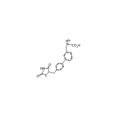 CCCN(Cc1cccc(-c2ccc(CC3SC(=O)NC3=O)cc2)c1)C(=O)O